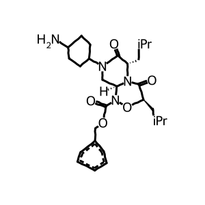 CC(C)C[C@H]1ON(C(=O)OCc2ccccc2)[C@H]2CN(C3CCC(N)CC3)C(=O)[C@H](CC(C)C)N2C1=O